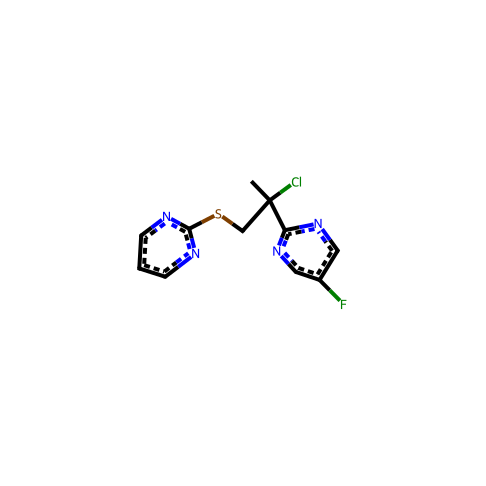 CC(Cl)(CSc1ncccn1)c1ncc(F)cn1